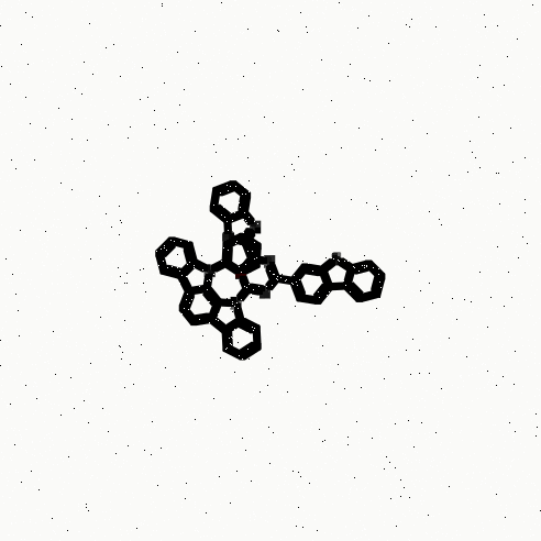 c1ccc(-n2c3ccccc3c3ccc4c5ccccc5n(-c5nc(-c6ccc7c(c6)sc6ccccc67)nc(-c6nc7ccccc7o6)n5)c4c32)cc1